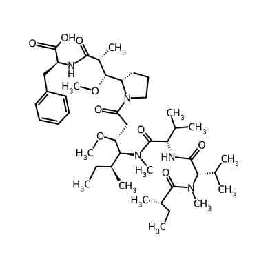 CC[C@H](C)C(=O)N(C)[C@H](C(=O)N[C@H](C(=O)N(C)[C@@H]([C@@H](C)CC)[C@@H](CC(=O)N1CCC[C@H]1[C@H](OC)[C@@H](C)C(=O)N[C@@H](Cc1ccccc1)C(=O)O)OC)C(C)C)C(C)C